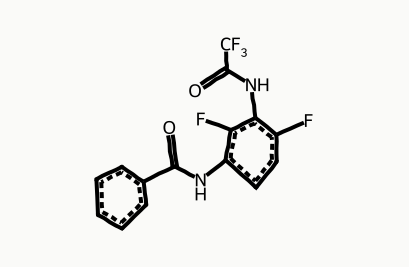 O=C(Nc1ccc(F)c(NC(=O)C(F)(F)F)c1F)c1ccccc1